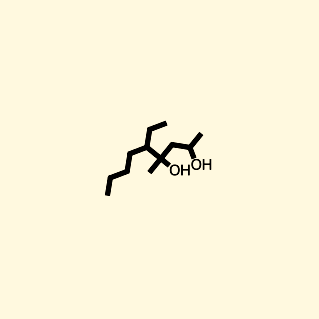 CCCCC(CC)C(C)(O)CC(C)O